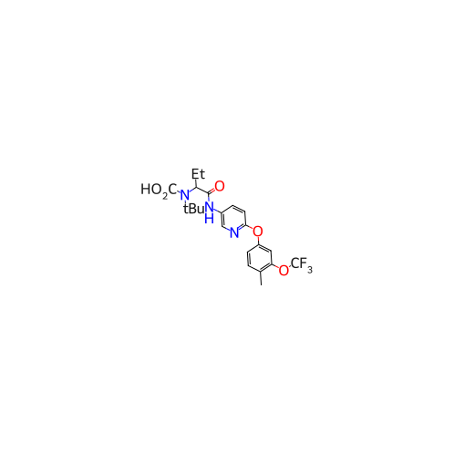 CCC(C(=O)Nc1ccc(Oc2ccc(C)c(OC(F)(F)F)c2)nc1)N(C(=O)O)C(C)(C)C